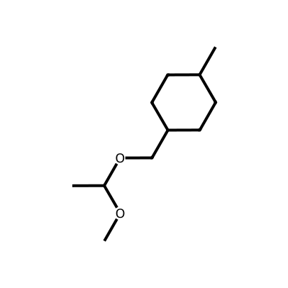 COC(C)OCC1CCC(C)CC1